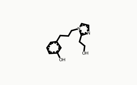 OCCc1nccn1CCCc1cccc(O)c1